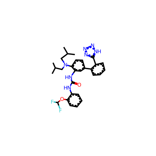 CC(C)CN(CC(C)C)c1ccc(-c2ccccc2-c2nnn[nH]2)cc1NC(=O)Nc1ccccc1OC(F)F